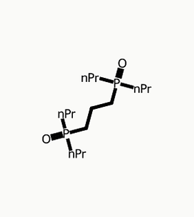 CCCP(=O)(CCC)CCCP(=O)(CCC)CCC